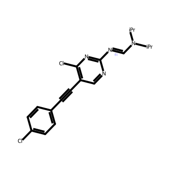 CC(C)N(/C=N/c1ncc(C#Cc2ccc(Cl)cc2)c(Cl)n1)C(C)C